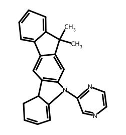 CC1(C)c2ccccc2-c2cc3c(cc21)N(c1cnccn1)C1=CC=CCC13